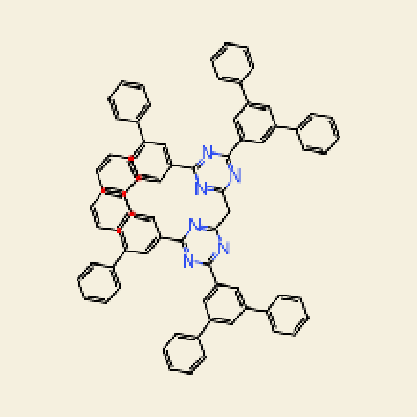 c1ccc(-c2cc(-c3ccccc3)cc(-c3nc(Cc4nc(-c5cc(-c6ccccc6)cc(-c6ccccc6)c5)nc(-c5cc(-c6ccccc6)cc(-c6ccccc6)c5)n4)nc(-c4cc(-c5ccccc5)cc(-c5ccccc5)c4)n3)c2)cc1